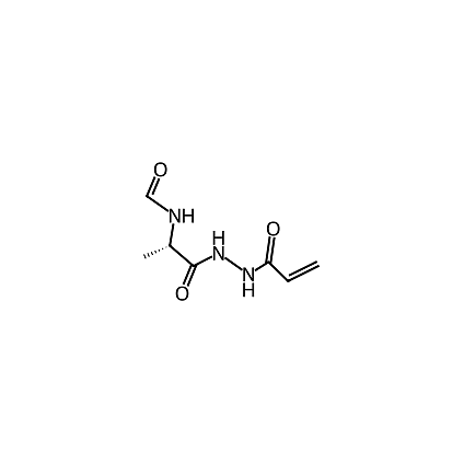 C=CC(=O)NNC(=O)[C@H](C)NC=O